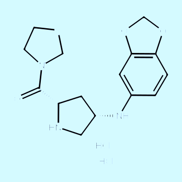 Cl.Cl.O=C([C@@H]1C[C@H](Nc2ccc3c(c2)OCO3)CN1)N1CCSC1